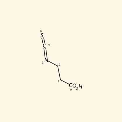 O=C(O)CCN=C=S